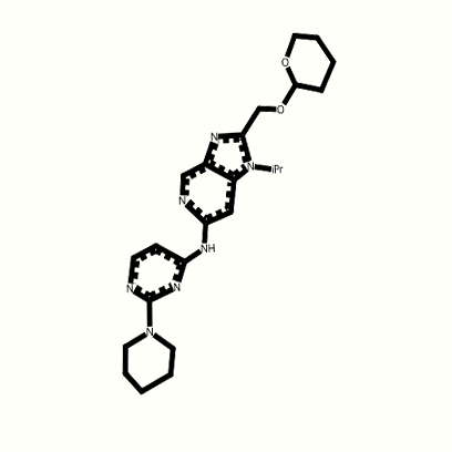 CC(C)n1c(COC2CCCCO2)nc2cnc(Nc3ccnc(N4CCCCC4)n3)cc21